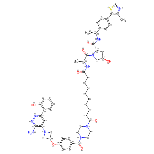 Cc1ncsc1-c1ccc([C@H](C)NC(=O)[C@@H]2C[C@@H](O)CN2C(=O)[C@@H](NC(=O)CCCCCCCCC(=O)N2CCN(C(=O)c3ccc(OC4CN(c5cc(-c6ccccc6O)nnc5N)C4)cc3)CC2)C(C)(C)C)cc1